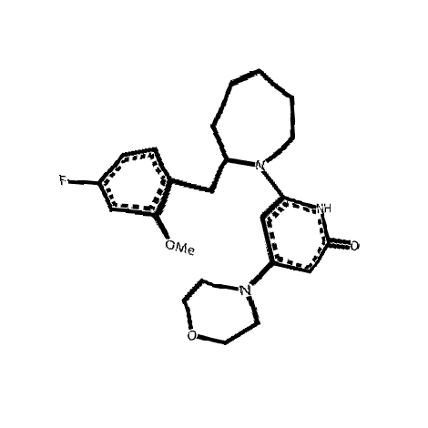 COc1cc(F)ccc1CC1CCCCCN1c1cc(N2CCOCC2)cc(=O)[nH]1